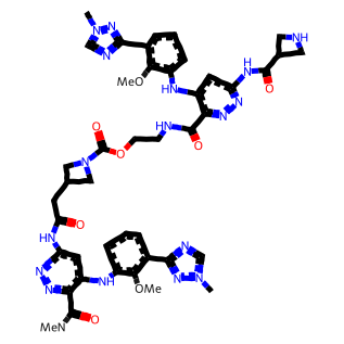 CNC(=O)c1nnc(NC(=O)CC2CN(C(=O)OCCNC(=O)c3nnc(NC(=O)C4CNC4)cc3Nc3cccc(-c4ncn(C)n4)c3OC)C2)cc1Nc1cccc(-c2ncn(C)n2)c1OC